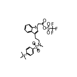 CN(CCc1cn(CC(=O)OS(=O)(=O)C(F)(F)F)c2ccccc12)S(=O)(=O)c1ccc([N+](C)(C)C)cc1